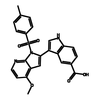 COc1ccnc2c1cc(-c1c[nH]c3ccc(C(=O)O)cc13)n2S(=O)(=O)c1ccc(C)cc1